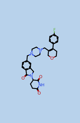 O=C1CCC(N2Cc3cc(CN4CCN(CC5=C(c6ccc(F)cc6)CCOC5)CC4)ccc3C2=O)C(=O)N1